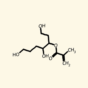 C=C(C)C(=O)OC(CCO)C(O)CCCO